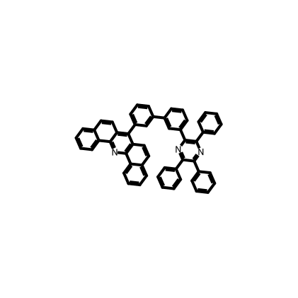 c1ccc(-c2nc(-c3ccccc3)c(-c3cccc(-c4cccc(-c5c6ccc7ccccc7c6nc6c5ccc5ccccc56)c4)c3)nc2-c2ccccc2)cc1